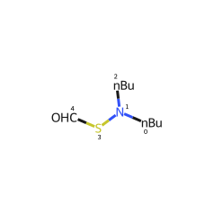 CCCCN(CCCC)SC=O